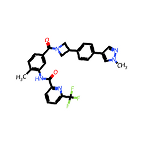 Cc1ccc(C(=O)N2CC(c3ccc(-c4cnn(C)c4)cc3)C2)cc1NC(=O)c1cccc(C(F)(F)F)n1